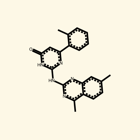 Cc1ccc2c(C)nc(Nc3nc(-c4ccccc4C)cc(=O)[nH]3)nc2c1